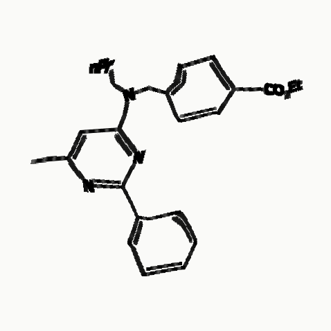 CCCN(c1ccc(C(=O)OCC)cc1)c1cc(C)nc(-c2ccccc2)n1